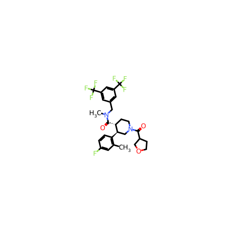 Cc1cc(F)ccc1[C@@H]1CN(C(=O)C2CCOC2)CC[C@H]1C(=O)N(C)Cc1cc(C(F)(F)F)cc(C(F)(F)F)c1